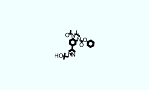 CC(=O)N1c2ccc(-c3cnn(CC(C)(C)O)c3)cc2N(C(=O)Oc2ccccc2)C[C@@H]1C